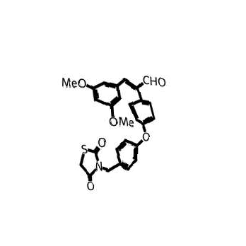 COc1cc(/C=C(/C=O)c2ccc(Oc3ccc(CN4C(=O)CSC4=O)cc3)cc2)cc(OC)c1